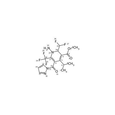 COC(=O)C1=C(C(C)C)C(C(=O)n2cccn2)=C(C(F)(F)F)N(N)C1C(F)F